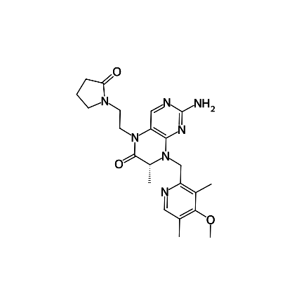 COc1c(C)cnc(CN2c3nc(N)ncc3N(CCN3CCCC3=O)C(=O)[C@H]2C)c1C